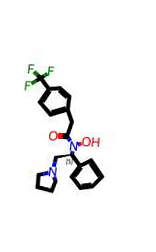 O=C(Cc1ccc(C(F)(F)F)cc1)N(O)[C@H](CN1CCCC1)c1ccccc1